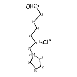 Cl.O=CCCCCCCN1CCCC1